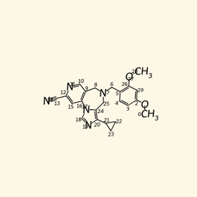 COc1ccc(CN2Cc3cnc(C#N)cc3-n3cnc(C4CC4)c3C2)c(OC)c1